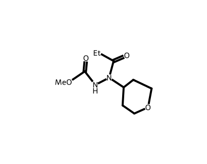 CCC(=O)N(NC(=O)OC)C1CCOCC1